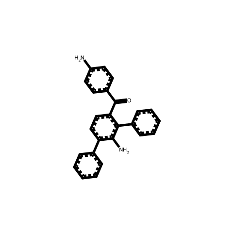 Nc1ccc(C(=O)c2ccc(-c3ccccc3)c(N)c2-c2ccccc2)cc1